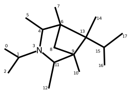 CC(C)N1C(C)C2(C)CC(C)(C1C)C2(C)C(C)C